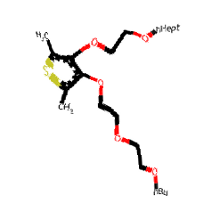 CCCCCCCOCCOc1c(C)sc(C)c1OCCOCCOCCCC